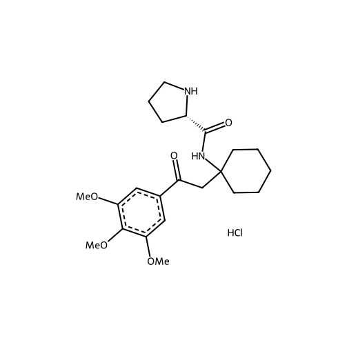 COc1cc(C(=O)CC2(NC(=O)[C@@H]3CCCN3)CCCCC2)cc(OC)c1OC.Cl